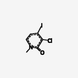 Cn1ccc(I)c(Cl)c1=O